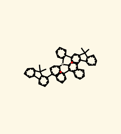 CC1(C)c2ccccc2-c2ccc(-c3ccccc3N(c3ccc(-c4cccc5c4C(C)(C)c4ccccc4-5)cc3)c3ccc4ccccc4c3-c3ccccc3)cc21